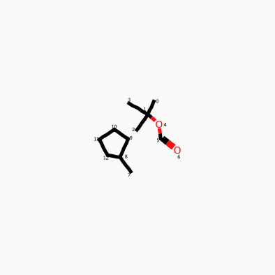 CC(C)(C)OC=O.CC1CCCC1